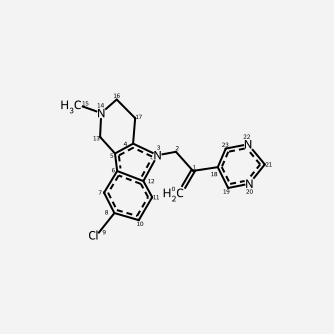 C=C(Cn1c2c(c3cc(Cl)ccc31)CN(C)CC2)c1cncnc1